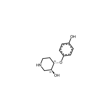 Oc1ccc(O[C@H]2CCNC[C@@H]2O)cc1